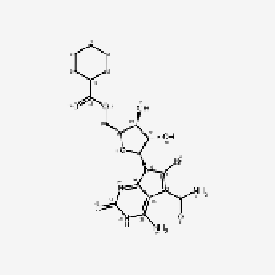 NC(=O)c1c(Br)n([C@H]2O[C@@H](COC(=O)C3CCCCC3)[C@@H](O)[C@@H]2O)c2nc(=O)[nH]c(N)c12